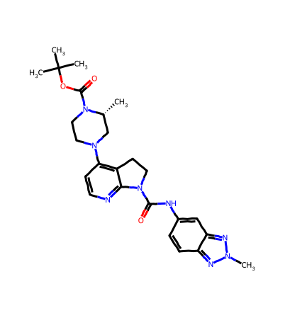 C[C@@H]1CN(c2ccnc3c2CCN3C(=O)Nc2ccc3nn(C)nc3c2)CCN1C(=O)OC(C)(C)C